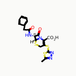 Cc1nnc(SC2=C(C(=O)O)N3C(=O)[C@@H](NC(=O)Cc4ccccc4)[C@@H]3SC2)s1